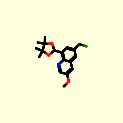 COc1cnc2c(B3OC(C)(C)C(C)(C)O3)cc(CF)cc2c1